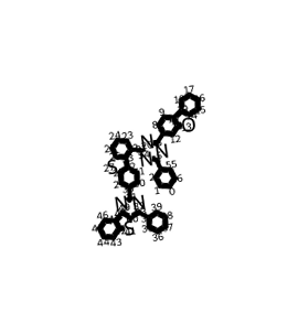 c1ccc(-c2nc(-c3ccc4c(c3)oc3ccccc34)nc(-c3cccc4sc5cc(-c6nc(-c7ccccc7)c7sc8ccccc8c7n6)ccc5c34)n2)cc1